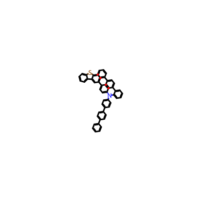 c1ccc(-c2ccc(-c3ccc(N(c4ccc(-c5ccc6sc7ccccc7c6c5)cc4)c4ccccc4-c4ccc(-c5ccccc5)cc4)cc3)cc2)cc1